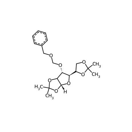 CC1(C)OCC([C@H]2O[C@@H]3OC(C)(C)OC3[C@@H]2OCOCc2ccccc2)O1